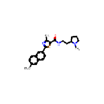 COc1ccc2cc(-c3nc(C)c(C(=O)NCCC4CCCN4C)s3)ccc2c1